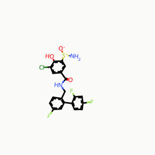 N[S+]([O-])c1cc(C(=O)NCc2ccc(F)cc2-c2ccc(F)cc2F)cc(Cl)c1O